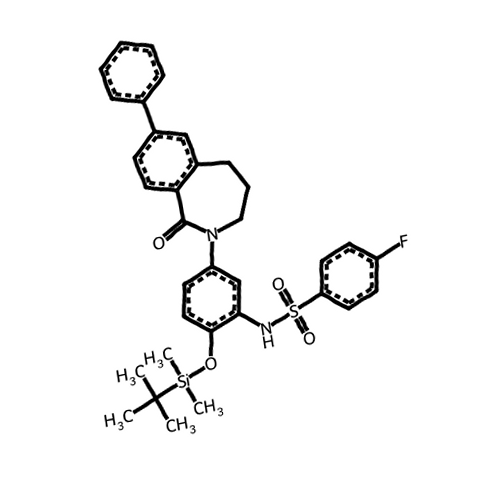 CC(C)(C)[Si](C)(C)Oc1ccc(N2CCCc3cc(-c4ccccc4)ccc3C2=O)cc1NS(=O)(=O)c1ccc(F)cc1